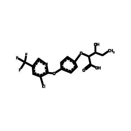 CCC(O)C(Oc1ccc(Oc2ncc(C(F)(F)F)cc2Cl)cc1)C(=O)O